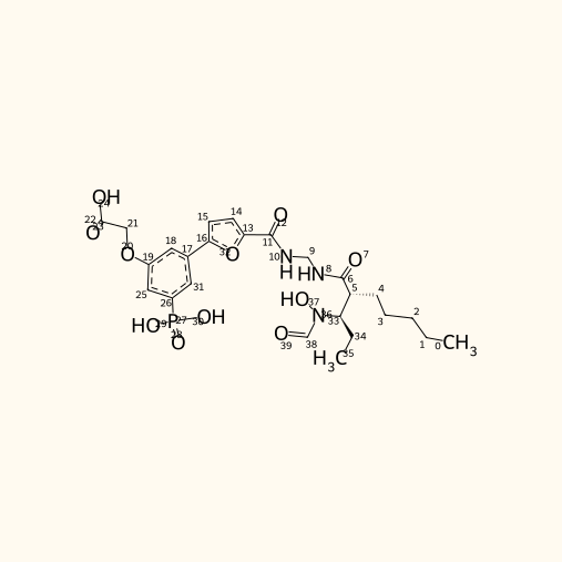 CCCCC[C@@H](C(=O)NCNC(=O)c1ccc(-c2cc(OCC(=O)O)cc(P(=O)(O)O)c2)o1)[C@@H](CC)N(O)C=O